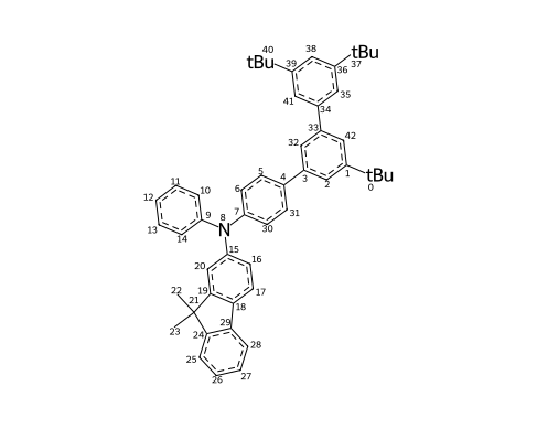 CC(C)(C)c1cc(-c2ccc(N(c3ccccc3)c3ccc4c(c3)C(C)(C)c3ccccc3-4)cc2)cc(-c2cc(C(C)(C)C)cc(C(C)(C)C)c2)c1